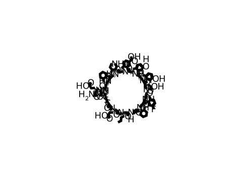 CCCC[C@H]1C(=O)NC(C)(C)C(=O)N[C@@H](CC2CCCCC2)C(=O)N[C@@H](Cc2ccc(F)cc2)C(=O)N(C)[C@H](CC(=O)O)C(=O)N[C@@H](Cc2ccc(O)cc2)C(=O)N[C@@H](Cc2ccc(O)cc2)C(=O)N[C@@H](Cc2ccc(C(=O)O)cc2)C(=O)N[C@@H](CC2CCNCC2)C(=O)N[C@@H](CC2CCCCC2)C(=O)N[C@H](C(=O)N[C@H](CCC(=O)O)C(N)=O)CSCC(=O)N(C)[C@@H](CCC(=O)O)C(=O)N1C